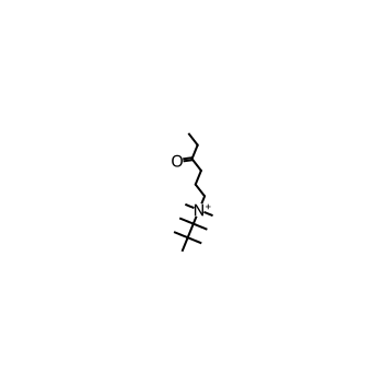 CCC(=O)CCC[N+](C)(C)C(C)(C)C(C)(C)C